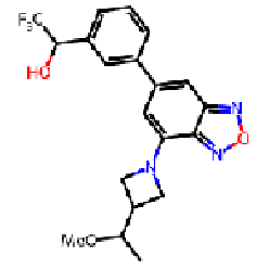 COC(C)C1CN(c2cc(-c3cccc(C(O)C(F)(F)F)c3)cc3nonc23)C1